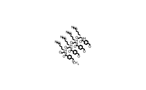 C.[N-]=[N+]=NCCCC[C@@H](C=O)NC(=O)c1ccc(C=O)cc1.[N-]=[N+]=NCCCC[C@@H](C=O)NC(=O)c1ccc(C=O)cc1.[N-]=[N+]=NCCCC[C@@H](C=O)NC(=O)c1ccc(C=O)cc1.[N-]=[N+]=NCCCC[C@@H](C=O)NC(=O)c1ccc(C=O)cc1